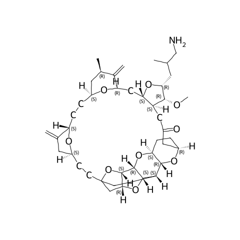 C=C1C[C@@H]2CCC34C[C@H]5[C@H]6O[C@H](CC[C@@H]6O[C@H]6[C@@H](O3)[C@@H](C4)O[C@@H]56)CC(=O)C[C@@H]3[C@@H](OC)[C@@H](CC(C)CN)O[C@H]3C[C@H]3O[C@@H](CC[C@@H]1O2)C[C@@H](C)C3=C